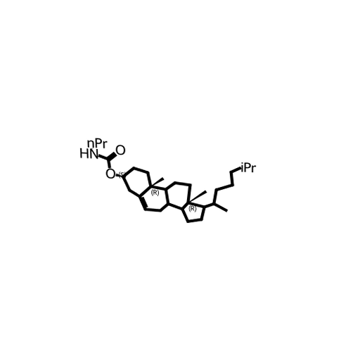 CCCNC(=O)O[C@H]1CC[C@@]2(C)C(=CCC3C4CCC(C(C)CCCC(C)C)[C@@]4(C)CCC32)C1